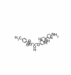 Cc1ccc(S(=O)(=O)OCC(O)COC2=CC[C@@H]3N[C@H](C4=CN=C(N)CC4)CC[C@@H]3C2)cc1